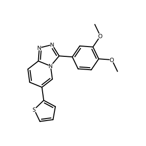 COc1ccc(-c2nnc3ccc(-c4cccs4)cn23)cc1OC